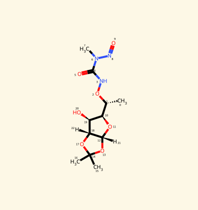 C[C@@H](ONC(=O)N(C)N=O)[C@H]1O[C@@H]2OC(C)(C)O[C@@H]2[C@H]1O